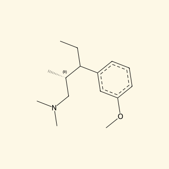 CCC(c1cccc(OC)c1)[C@@H](C)CN(C)C